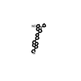 N#Cc1ccc2c3c1ccc1c(-c4ccc5cc(-c6ccc7ccc8c(-c9cccnc9)ccc9ccc6c7c98)ccc5c4)ccc(c13)n2-c1ccccc1